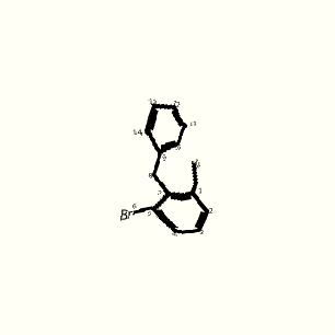 Cc1cccc(Br)c1Cc1ccccc1